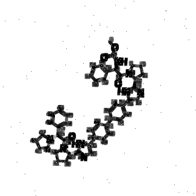 COC(=O)N[C@@H](C(=O)N1CCC[C@H]1c1ncc(-c2ccc(-c3ccc(-c4cnc([C@@H]5CCCN5C(=O)[C@@H](c5ccccc5)N5CCCC5)[nH]4)cc3)cc2)[nH]1)c1ccccc1